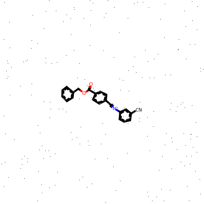 N#Cc1cccc([N+]#Cc2ccc(C(=O)OCc3ccccc3)cc2)c1